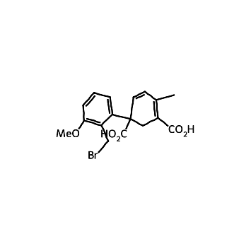 COc1cccc(C2(C(=O)O)C=CC(C)=C(C(=O)O)C2)c1CBr